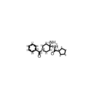 NC1(NC(=O)C2CCCC2)CCN(C(=O)c2ccccc2)CC1